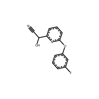 N#CC(O)c1cccc(Oc2cccc(F)c2)n1